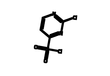 O=S(=O)(Cl)c1ccnc(Cl)n1